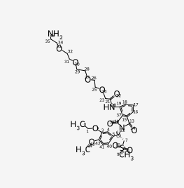 CCOc1cc([C@@H](CS(C)(=O)=O)N2C(=O)c3cccc(NC(=O)COCCOCCOCCOCCN)c3C2=O)ccc1OC